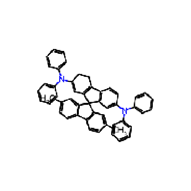 Cc1ccc2c(c1)C1(C3=C(CCC(N(c4ccccc4)c4ccccc4)=C3)c3ccc(N(c4ccccc4)c4ccccc4)cc31)c1cc(C)ccc1-2